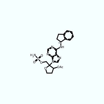 CC(=O)OC1CCOC1(COS(N)(=O)=O)n1cnc2c(N[C@H]3CCc4ccccc43)ncnc21